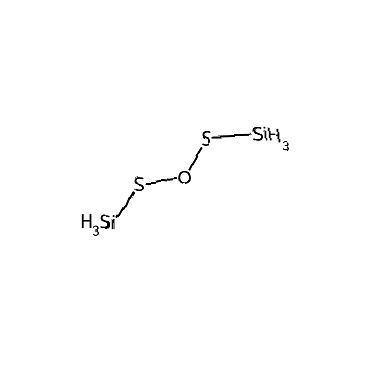 [SiH3]SOS[SiH3]